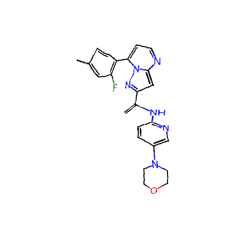 C=C(Nc1ccc(N2CCOCC2)cn1)c1cc2nccc(-c3ccc(C)cc3F)n2n1